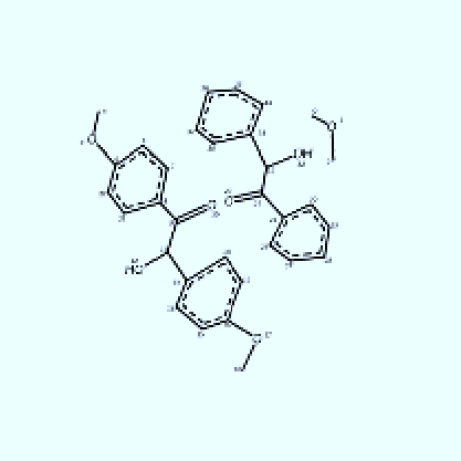 COC.COc1ccc(C(=O)C(O)c2ccc(OC)cc2)cc1.O=C(c1ccccc1)C(O)c1ccccc1